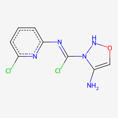 NC1=CONN1C(Cl)=Nc1cccc(Cl)n1